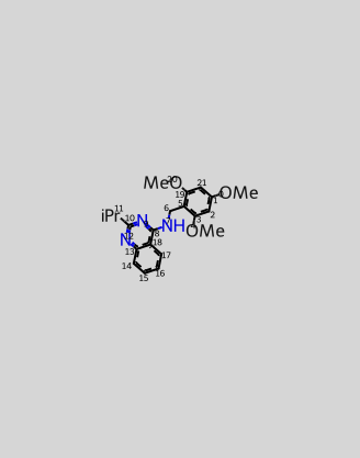 COc1cc(OC)c(CNc2nc(C(C)C)nc3ccccc23)c(OC)c1